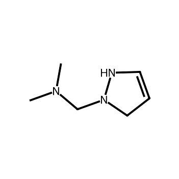 CN(C)CN1CC=CN1